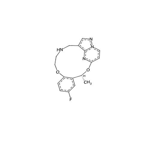 C[C@H]1Oc2ccn3ncc(c3n2)CNCCOc2ccc(F)cc21